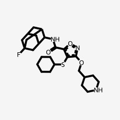 O=C(NC1C2CC3CC1CC(F)(C3)C2)c1onc(OCC2CCNCC2)c1SC1CCCCC1